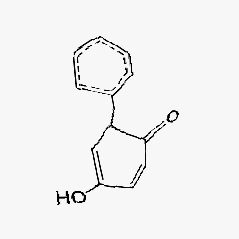 O=C1C=CC(O)=CC1c1ccccc1